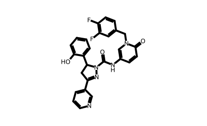 O=C(Nc1ccc(=O)n(Cc2ccc(F)c(F)c2)c1)N1N=C(c2cccnc2)CC1c1ccccc1O